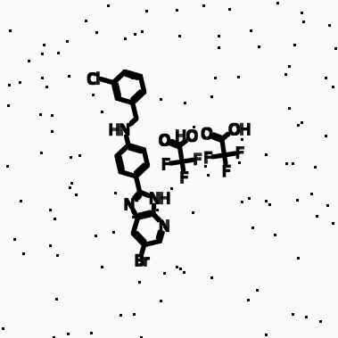 Clc1cccc(CNc2ccc(-c3nc4cc(Br)cnc4[nH]3)cc2)c1.O=C(O)C(F)(F)F.O=C(O)C(F)(F)F